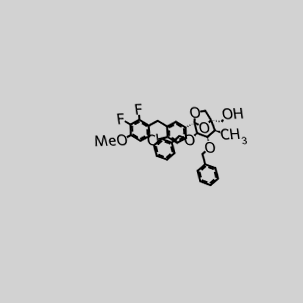 COc1ccc(Cc2cc([C@]34OC[C@](CO)(O3)[C@@H](C)[C@H](OCc3ccccc3)[C@H]4OCc3ccccc3)ccc2Cl)c(F)c1F